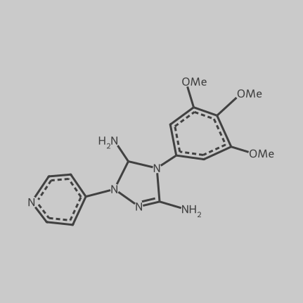 COc1cc(N2C(N)=NN(c3ccncc3)C2N)cc(OC)c1OC